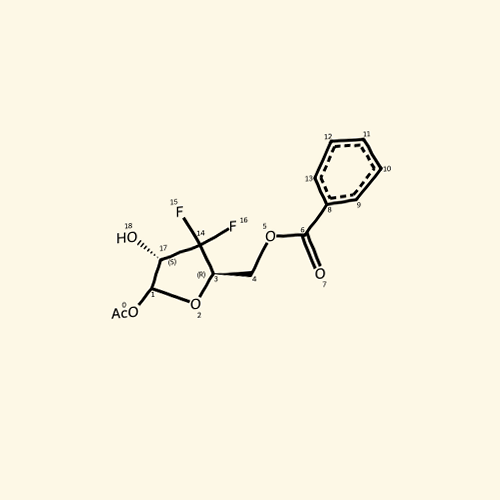 CC(=O)OC1O[C@H](COC(=O)c2ccccc2)C(F)(F)[C@H]1O